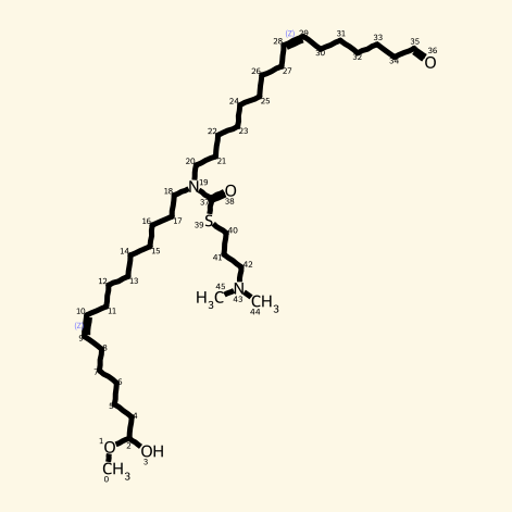 COC(O)CCCCC/C=C\CCCCCCCCN(CCCCCCCC/C=C\CCCCCC=O)C(=O)SCCCN(C)C